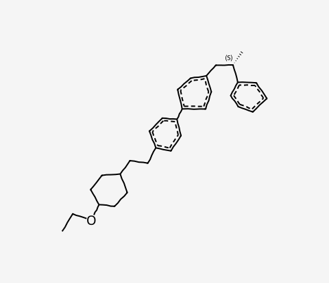 CCOC1CCC(CCc2ccc(-c3ccc(C[C@H](C)c4ccccc4)cc3)cc2)CC1